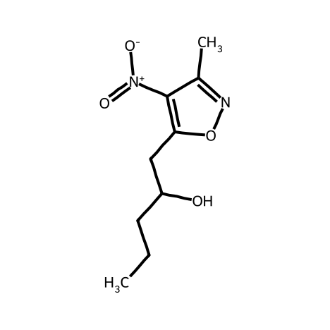 CCCC(O)Cc1onc(C)c1[N+](=O)[O-]